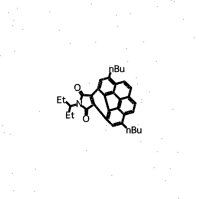 CCCCc1cc2c3c(=O)n(C(CC)CC)c(=O)c3c3cc(CCCC)c4ccc5ccc1c1c5c4c3c21